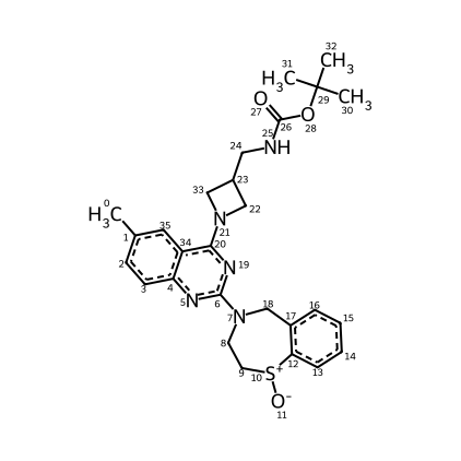 Cc1ccc2nc(N3CC[S+]([O-])c4ccccc4C3)nc(N3CC(CNC(=O)OC(C)(C)C)C3)c2c1